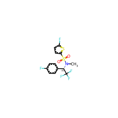 CN([C@@H](c1ccc(F)cc1)C(F)(F)F)S(=O)(=O)c1ccc(F)s1